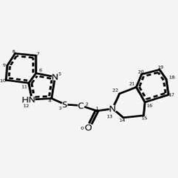 O=C(CSc1nc2ccccc2[nH]1)N1CCc2ccccc2C1